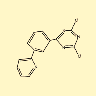 Clc1nc(Cl)nc(-c2cccc(-c3ccccn3)c2)n1